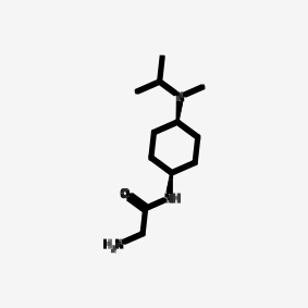 CC(C)N(C)[C@H]1CC[C@@H](NC(=O)CN)CC1